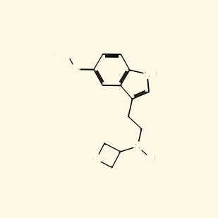 COc1ccc2[nH]cc(CCN(C)C3COC3)c2c1